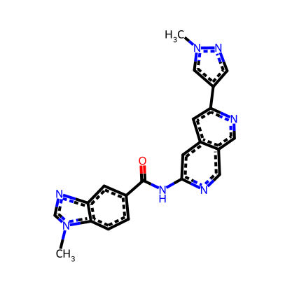 Cn1cc(-c2cc3cc(NC(=O)c4ccc5c(c4)ncn5C)ncc3cn2)cn1